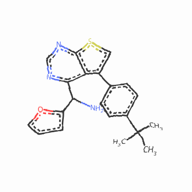 CC(C)(C)c1ccc(-c2csc3ncnc(C(N)c4ccco4)c23)cc1